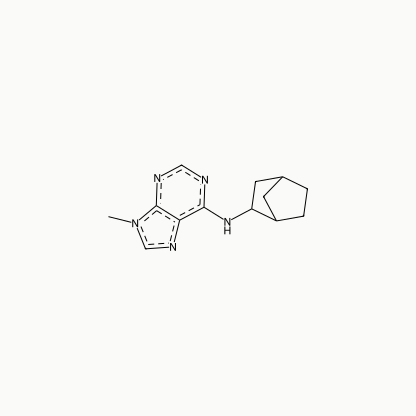 Cn1cnc2c(NC3CC4CCC3C4)ncnc21